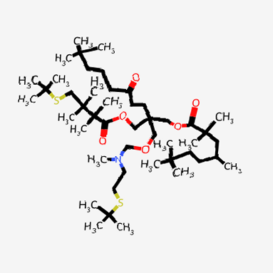 CC(CCC(C)(C)C)CC(C)(C)C(=O)OCC(CCC(=O)CCCC(C)(C)C)(COCN(C)CCSC(C)(C)C)COC(=O)C(C)(C)C(C)(C)CSC(C)(C)C